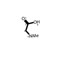 [CH]NCC(=O)O